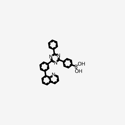 OB(O)c1ccc(-c2nc(-c3ccccc3)nc(-c3cccc(-c4cccc5cccnc45)c3)n2)cc1